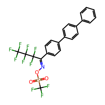 O=S(=O)(ON=C(c1ccc(-c2ccc(-c3ccccc3)cc2)cc1)C(F)(F)C(F)(F)C(F)(F)F)C(F)(F)F